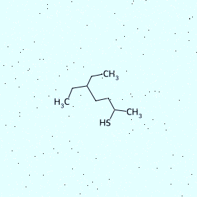 CCC(CC)CCC(C)S